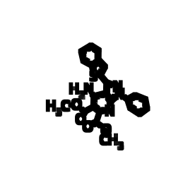 COC(=O)c1nc2c(c(-c3cc4ccccc4s3)nn2-c2ccccc2)c(N)c1C(=O)OC